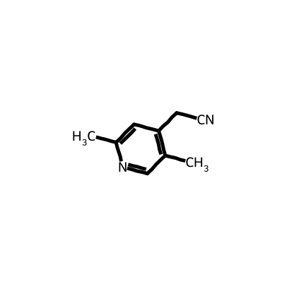 Cc1cc(CC#N)c(C)cn1